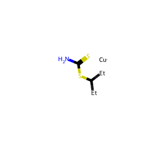 CCC(CC)SC(N)=S.[Cu]